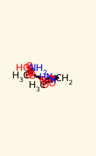 C=C1CC2CNc3cc(OCCCCCOc4cc(N)c(C(=O)O)cc4OC)c(OC)cc3C(=O)N2C1